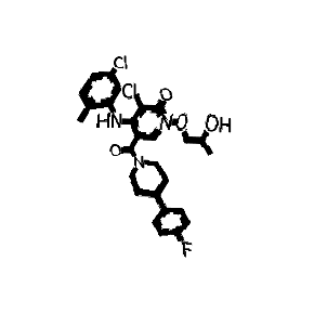 Cc1ccc(Cl)cc1Nc1c(C(=O)N2CCC(c3ccc(F)cc3)CC2)cn(OCC(C)O)c(=O)c1Cl